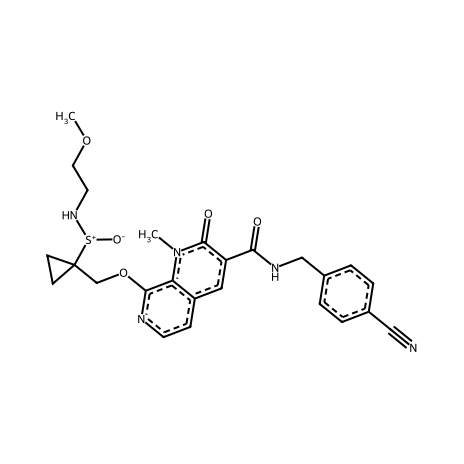 COCCN[S+]([O-])C1(COc2nccc3cc(C(=O)NCc4ccc(C#N)cc4)c(=O)n(C)c23)CC1